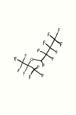 FC(OC(F)(C(F)(F)F)C(F)(F)F)C(F)(F)C(F)(F)C(F)(F)F